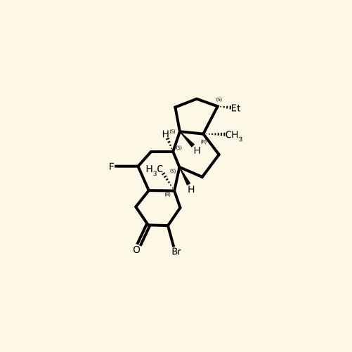 CC[C@H]1CC[C@H]2[C@@H]3CC(F)C4CC(=O)C(Br)C[C@]4(C)[C@H]3CC[C@]12C